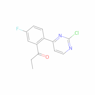 CCC(=O)c1cc(F)ccc1-c1ccnc(Cl)n1